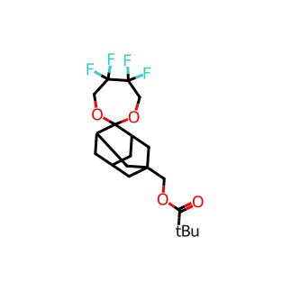 CC(C)(C)C(=O)OCC12CC3CC(C1)C1(OCC(F)(F)C(F)(F)CO1)C(C3)C2